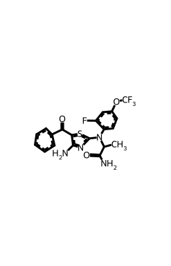 CC(C(N)=O)N(c1nc(N)c(C(=O)c2ccccc2)s1)c1ccc(OC(F)(F)F)cc1F